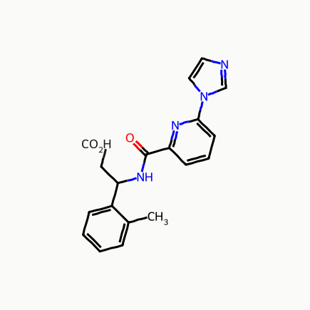 Cc1ccccc1C(CC(=O)O)NC(=O)c1cccc(-n2ccnc2)n1